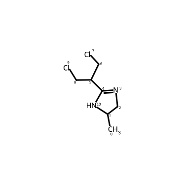 CC1CN=C(C(CCl)CCl)N1